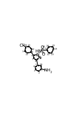 Nc1cccc(-c2cc(-c3ccc(Cl)cc3)n(NS(=O)(=O)c3ccccc3)n2)c1